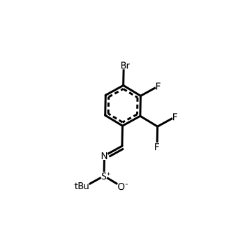 CC(C)(C)[S+]([O-])N=Cc1ccc(Br)c(F)c1C(F)F